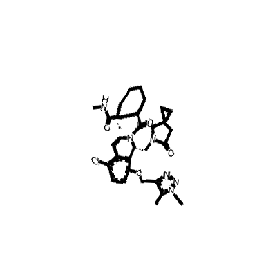 CNC(=O)[C@@]1(C)CCCC[C@H]1C(=O)N1CCc2c(Cl)ccc(OCc3nnn(C)c3C)c2[C@H]1CN1CC2(CC2)CC1=O